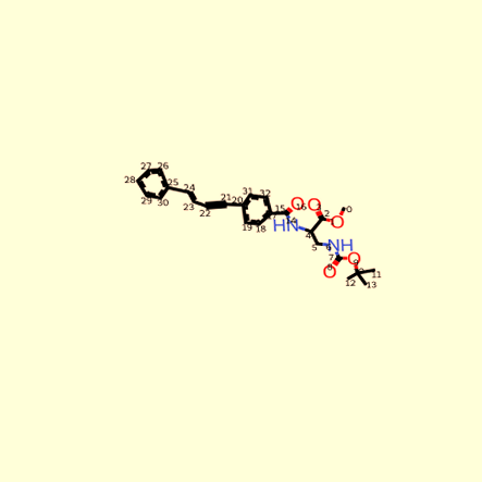 COC(=O)C(CNC(=O)OC(C)(C)C)NC(=O)c1ccc(C#CC=Cc2ccccc2)cc1